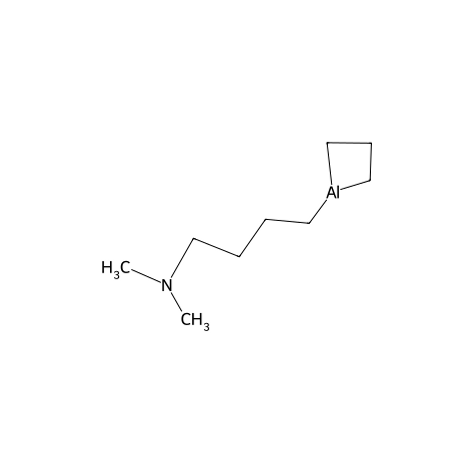 CN(C)CCC[CH2][Al]1[CH2]C[CH2]1